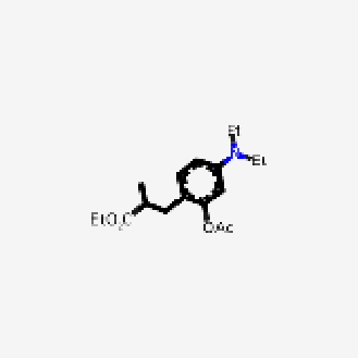 CCOC(=O)C(C)Cc1ccc(N(CC)CC)cc1OC(C)=O